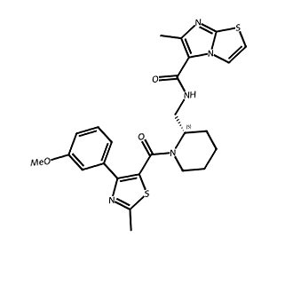 COc1cccc(-c2nc(C)sc2C(=O)N2CCCC[C@H]2CNC(=O)c2c(C)nc3sccn23)c1